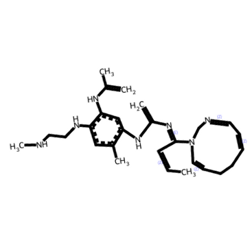 C=C(C)Nc1cc(NC(=C)/N=C(\C=C/C)N2/C=C\CC/C=C\C=N/C2)c(C)cc1NCCNC